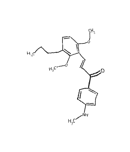 CCCc1ccc(OC)c(C=CC(=O)c2ccc(NC)cc2)c1OC